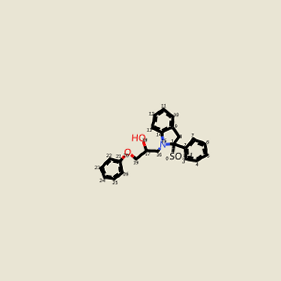 O=S(=O)(O)C1(c2ccccc2)Cc2ccccc2N1CC(O)COc1ccccc1